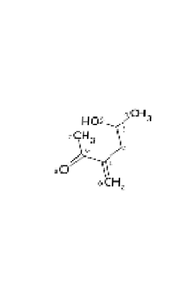 C=C(CC(C)O)C(C)=O